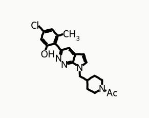 CC(=O)N1CCC(Cn2ccc3cc(-c4c(C)cc(Cl)cc4O)nnc32)CC1